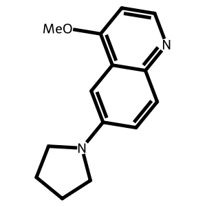 COc1ccnc2ccc(N3CCCC3)cc12